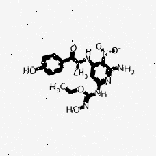 CCOC(=NO)Nc1cc(NC(C)C(=O)c2ccc(O)cc2)c([N+](=O)[O-])c(N)n1